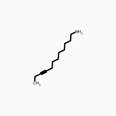 CCC#CCCCCCCCCN